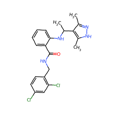 Cc1n[nH]c(C)c1C(C)Nc1ccccc1C(=O)NCc1ccc(Cl)cc1Cl